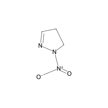 O=[N+]([O-])N1CCC=N1